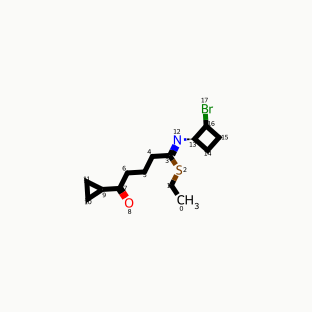 CCS/C(CCCC(=O)C1CC1)=N\[C@H]1CCC1Br